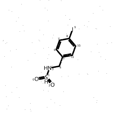 O=[SH](=O)NCc1ccc(I)cc1